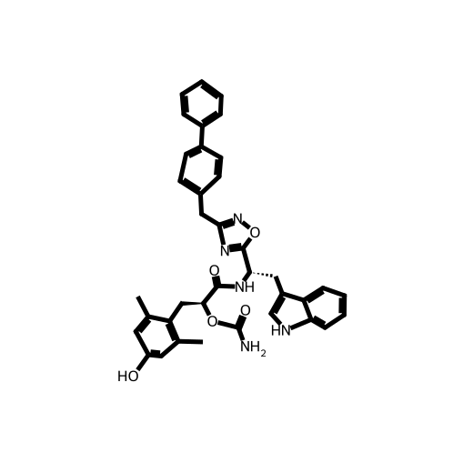 Cc1cc(O)cc(C)c1C[C@H](OC(N)=O)C(=O)N[C@@H](Cc1c[nH]c2ccccc12)c1nc(Cc2ccc(-c3ccccc3)cc2)no1